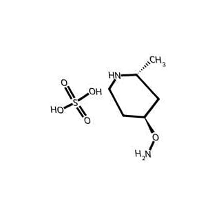 C[C@@H]1C[C@@H](ON)CCN1.O=S(=O)(O)O